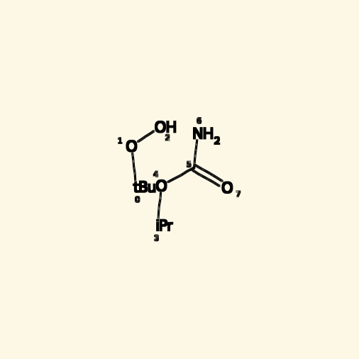 CC(C)(C)OO.CC(C)OC(N)=O